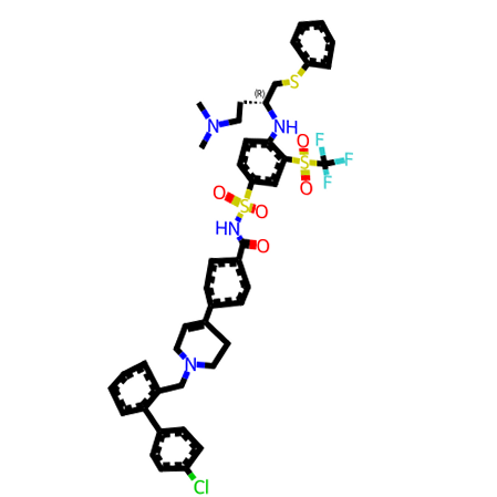 CN(C)CC[C@H](CSc1ccccc1)Nc1ccc(S(=O)(=O)NC(=O)c2ccc(C3=CCN(Cc4ccccc4-c4ccc(Cl)cc4)CC3)cc2)cc1S(=O)(=O)C(F)(F)F